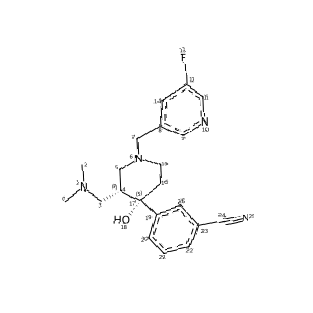 CN(C)C[C@@H]1CN(Cc2cncc(F)c2)CC[C@@]1(O)c1cccc(C#N)c1